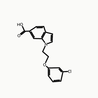 O=C(O)c1ccc2ccn(CCOc3cccc(Cl)c3)c2c1